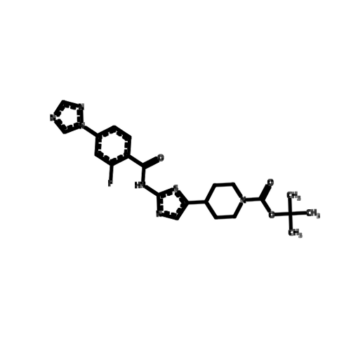 CC(C)(C)OC(=O)N1CCC(c2cnc(NC(=O)c3ccc(-n4cncn4)cc3F)s2)CC1